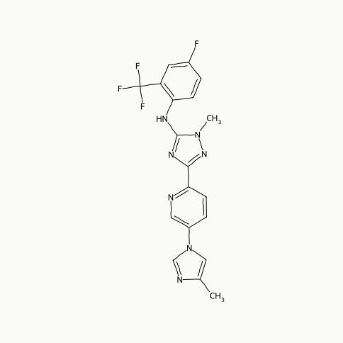 Cc1cn(-c2ccc(-c3nc(Nc4ccc(F)cc4C(F)(F)F)n(C)n3)nc2)cn1